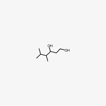 CC(C)C(C)C(O)CCO